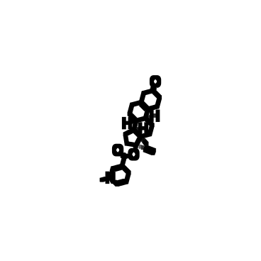 C#C[C@]1(OC(=O)C2=CN(C)C=CC2)CC[C@H]2[C@@H]3CCC4=C(CCC(=O)C4)[C@H]3CC[C@@]21C